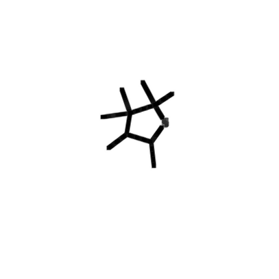 CC1SC(C)(C)C(C)(C)C1C